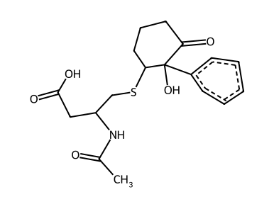 CC(=O)NC(CSC1CCCC(=O)C1(O)c1ccccc1)CC(=O)O